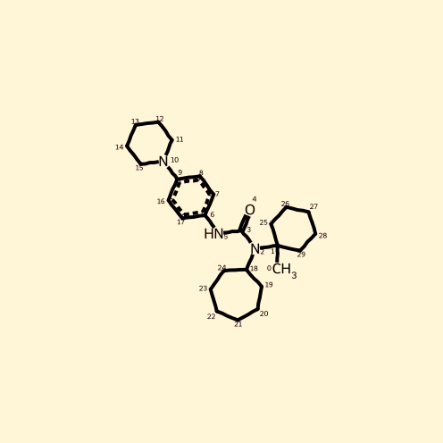 CC1(N(C(=O)Nc2ccc(N3CCCCC3)cc2)C2CCCCCC2)CCCCC1